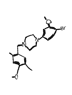 COc1cc(C)c(CN2CCN(c3ccc(Br)c(OC)c3)CC2)cc1C